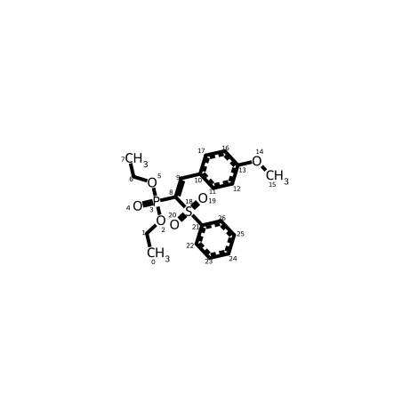 CCOP(=O)(OCC)/C(=C/c1ccc(OC)cc1)S(=O)(=O)c1ccccc1